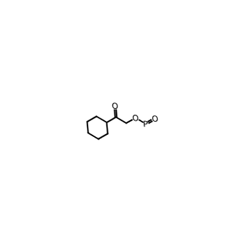 O=POCC(=O)C1CCCCC1